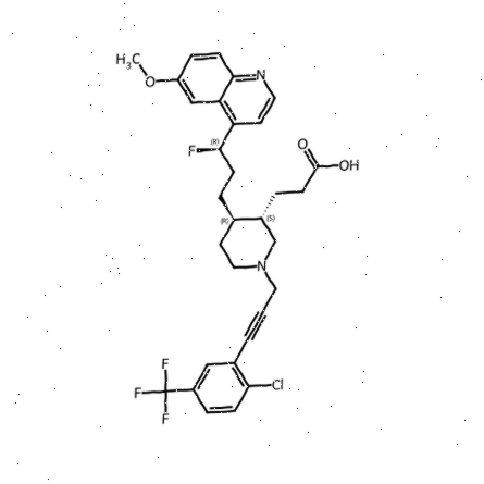 COc1ccc2nccc([C@H](F)CC[C@@H]3CCN(CC#Cc4cc(C(F)(F)F)ccc4Cl)C[C@H]3CCC(=O)O)c2c1